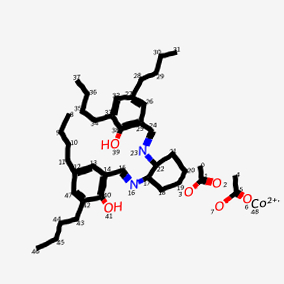 CC(=O)[O-].CC(=O)[O-].CCCCc1cc(C=NC2CCCCC2N=Cc2cc(CCCC)cc(CCCC)c2O)c(O)c(CCCC)c1.[Co+2]